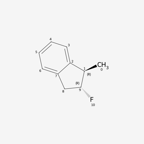 C[C@@H]1c2ccccc2C[C@H]1F